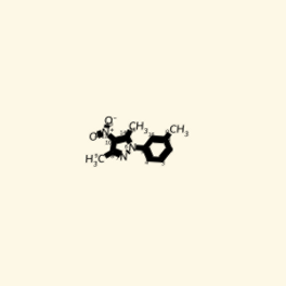 Cc1cccc(-n2nc(C)c([N+](=O)[O-])c2C)c1